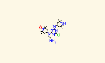 CON1C(C)(C)CC(N(CCN)c2nc(Cl)nc(N(C)C3CC(C)(C)NC(C)(C)C3)n2)CC1(C)C